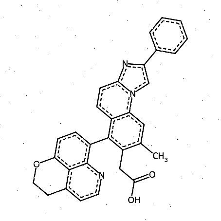 Cc1cc2c(ccc3nc(-c4ccccc4)cn32)c(-c2ccc3c4c(ccnc24)CCO3)c1CC(=O)O